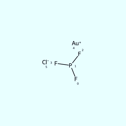 FP(F)F.[Au+].[Cl-]